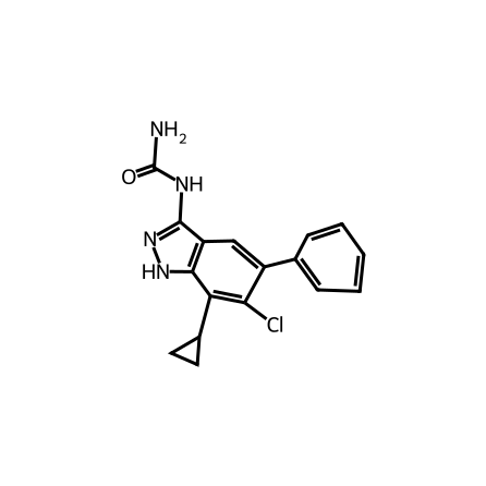 NC(=O)Nc1n[nH]c2c(C3CC3)c(Cl)c(-c3ccccc3)cc12